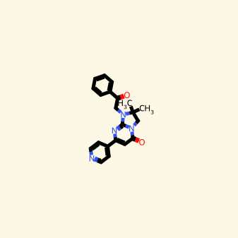 CC1(C)Cn2c(nc(-c3ccncc3)cc2=O)N1CC(=O)c1ccccc1